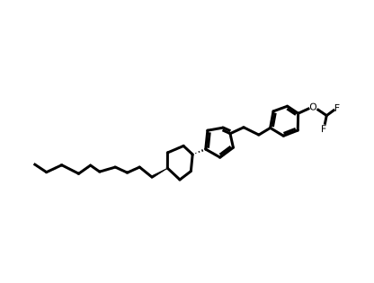 CCCCCCCCCC[C@H]1CC[C@H](c2ccc(CCc3ccc(OC(F)F)cc3)cc2)CC1